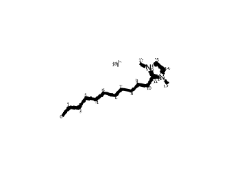 CCCCCCCCCCCc1n(C)cc[n+]1C.[I-]